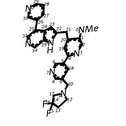 CNc1cnc(-c2cncc(CN3CCC(F)(F)C3)c2)cc1Cc1cc2c(-c3cccnc3)cncc2[nH]1